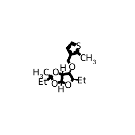 CC[C@H]1O[C@@H]2OC(C)(CC)O[C@@H]2[C@H]1OCc1ccsc1C